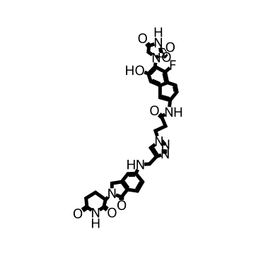 O=C1CCC(N2Cc3cc(NCc4cn(CCC(=O)Nc5ccc6c(F)c(N7CC(=O)NS7(=O)=O)c(O)cc6c5)nn4)ccc3C2=O)C(=O)N1